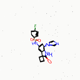 O=C1Nc2c(-n3ccnc3)cc(NS(=O)(=O)c3ccc(F)cc3)cc2C12CCC2